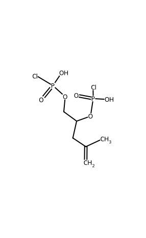 C=C(C)CC(COP(=O)(O)Cl)OP(=O)(O)Cl